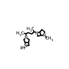 CC(CCC(C)N1CC2C1CCN2C)N1CC2CN(C(C)C)C2C1